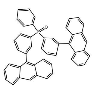 O=P(c1ccccc1)(c1cccc(-c2c3ccccc3cc3ccccc23)c1)c1cccc(-c2c3ccccc3cc3ccccc23)c1